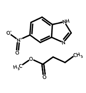 CCCC(=O)OC.O=[N+]([O-])c1ccc2[nH]cnc2c1